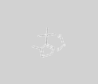 CC1=C[CH]C=C1[Si](C)(C)C.[Cl][Ti][Cl]